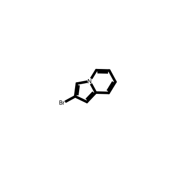 Brc1cc2ccccn2c1